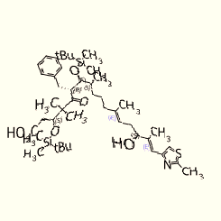 C/C(=C\C[C@H](O)/C(C)=C/c1csc(C)n1)CCC[C@H](C)[C@H](O[Si](C)(C)C(C)(C)C)[C@@H](Cc1ccccc1)C(=O)C(C)(C)[C@H](CC(=O)O)O[Si](C)(C)C(C)(C)C